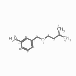 CC(C)CCOCc1cccc(N)c1